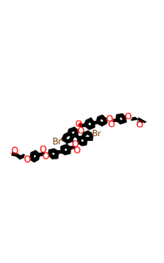 O=C(Oc1ccc(-c2ccc(C(=O)Oc3ccc4cc(Br)ccc4c3-c3c(OC(=O)c4ccc(-c5ccc(OC(=O)c6ccc(OCC[C@H]7CO7)cc6)cc5)cc4)ccc4cc(Br)ccc34)cc2)cc1)c1ccc(OCCC2CO2)cc1